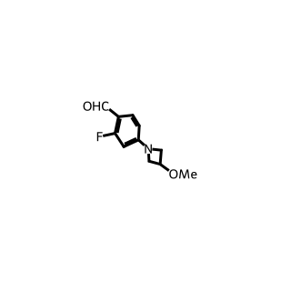 COC1CN(c2ccc(C=O)c(F)c2)C1